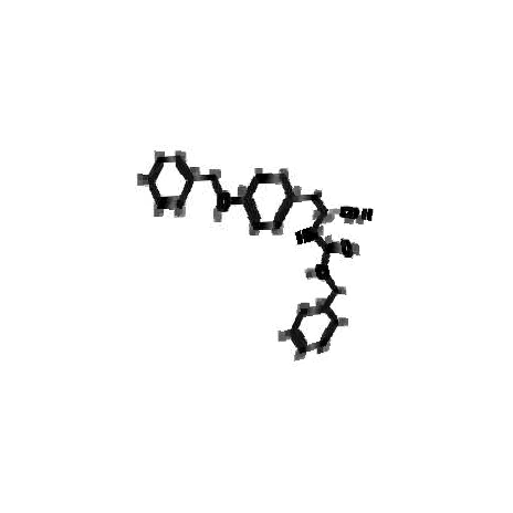 O=C(N[C@H](Cc1ccc(OCc2ccccc2)cc1)C(=O)O)OCc1ccccc1